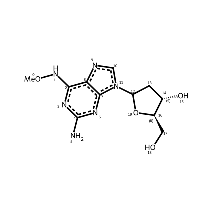 CONc1nc(N)nc2c1ncn2C1C[C@H](O)[C@@H](CO)O1